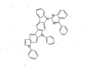 c1ccc(-c2nc(-n3c4ccccc4c4cc5c6cc7ccn(-c8ccccc8)c7cc6n(-c6ccccc6)c5cc43)nc3ccccc23)cc1